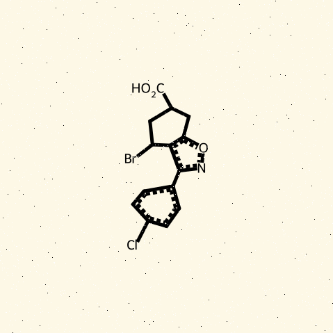 O=C(O)C1Cc2onc(-c3ccc(Cl)cc3)c2C(Br)C1